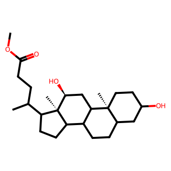 COC(=O)CCC(C)C1CCC2C3CCC4CC(O)CC[C@]4(C)C3C[C@H](O)[C@]12C